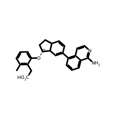 Cc1cccc(O[C@@H]2CCC3C=CC(c4cccc5c(N)nccc45)=CC32)c1CC(=O)O